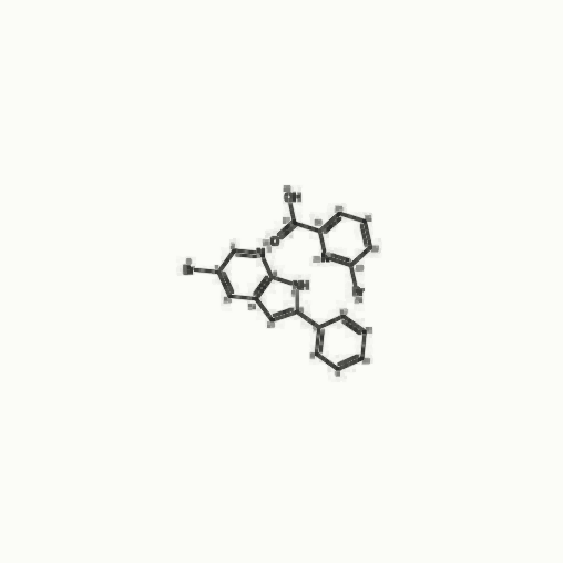 Brc1cnc2[nH]c(-c3ccccc3)cc2c1.O=C(O)c1cccc(Br)n1